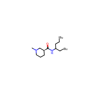 CCC(C)CC(CCC(C)(C)C)NC(=O)[C@H]1CCCN(C)C1